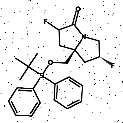 CC(C)(C)[Si](OC[C@@]12CC(F)C(=O)N1C[C@H](F)C2)(c1ccccc1)c1ccccc1